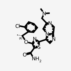 C[C@@H](Oc1nc(-c2cnc3cnc(CN(C)C)cn23)sc1C(N)=O)c1ccccc1Cl